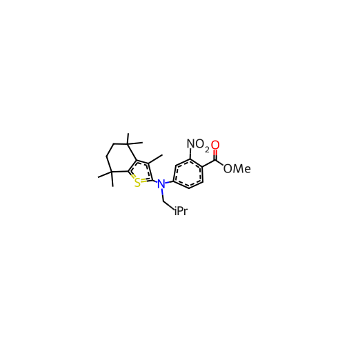 COC(=O)c1ccc(N(CC(C)C)c2sc3c(c2C)C(C)(C)CCC3(C)C)cc1[N+](=O)[O-]